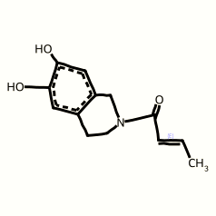 C/C=C/C(=O)N1CCc2cc(O)c(O)cc2C1